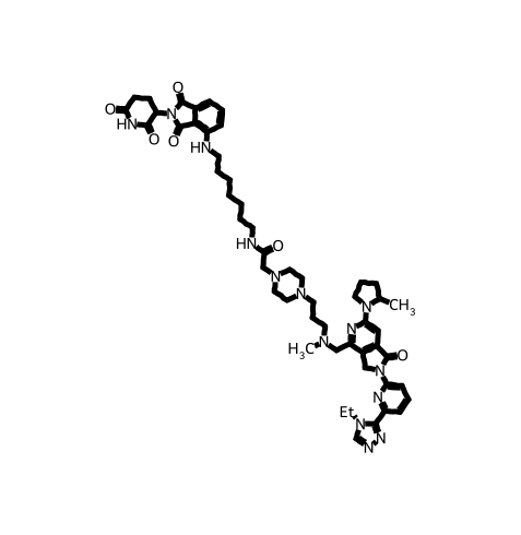 CCn1cnnc1-c1cccc(N2Cc3c(cc(N4CCCC4C)nc3CN(C)CCCN3CCN(CC(=O)NCCCCCCCNc4cccc5c4C(=O)N(C4CCC(=O)NC4=O)C5=O)CC3)C2=O)n1